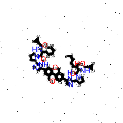 C=C(/C=C\C=C/C)[C@@H](NC(O)C1CC1)C(=O)N1CCCC1c1ncc(-c2cc3c4c(c2)OCc2cc(-c5cnc([C@@H]6CCCN6C(=O)[C@H](NC(=O)C6CC6)[C@H]6C=CC=CC6)[nH]5)cc(c2-4)OC3)[nH]1